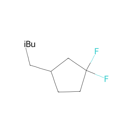 CCC(C)CC1CCC(F)(F)C1